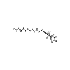 CCCSCCCCCCCCCC#C[Si](C)(C)C1CC2CCC1C2